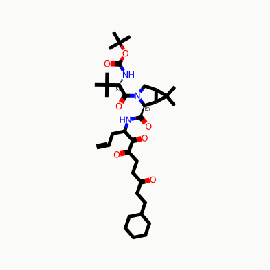 C=CCC(NC(=O)[C@@H]1C2C(CN1C(=O)[C@@H](NC(=O)OC(C)(C)C)C(C)(C)C)C2(C)C)C(=O)C(=O)CCC(=O)CCC1CCCCC1